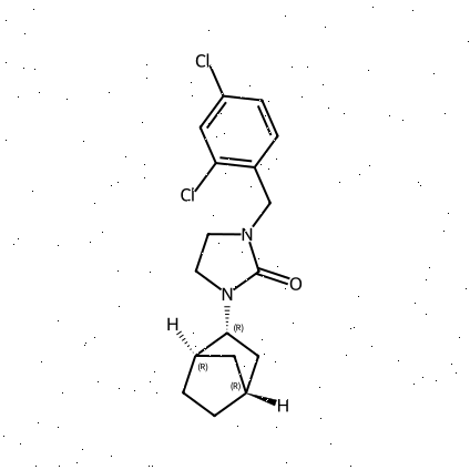 O=C1N(Cc2ccc(Cl)cc2Cl)CCN1[C@@H]1C[C@@H]2CC[C@@H]1C2